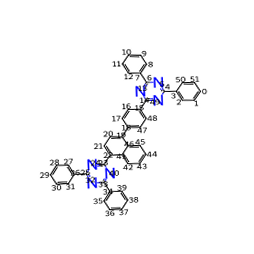 c1ccc(-c2nc(-c3ccccc3)nc(-c3ccc(-c4ccc(-c5nc(-c6ccccc6)nc(-c6ccccc6)n5)c5ccccc45)cc3)n2)cc1